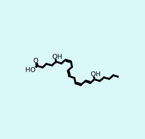 CCCCCC(O)/C=C/C=C\C/C=C\C/C=C\CC(O)CCCC(=O)O